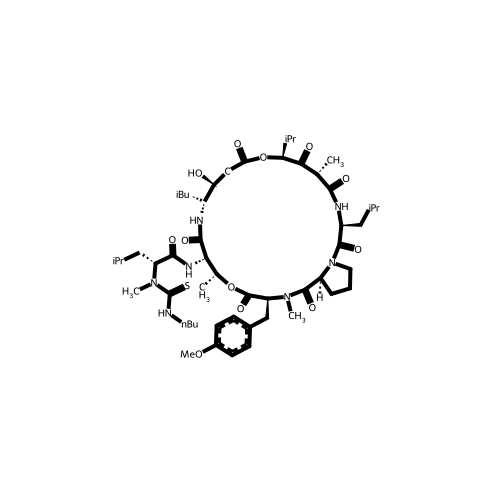 CCCCNC(=S)N(C)[C@H](CC(C)C)C(=O)N[C@@H]1C(=O)N[C@H]([C@@H](C)CC)[C@@H](O)CC(=O)O[C@@H](C(C)C)C(=O)[C@H](C)C(=O)N[C@@H](CC(C)C)C(=O)N2CCC[C@H]2C(=O)N(C)[C@@H](Cc2ccc(OC)cc2)C(=O)O[C@@H]1C